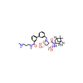 C[C@@H]1[C@@H](NC(=O)[C@@H]2[C@H]([C@H](C)O)[C@H](CO)ON2Cc2cccc(-c3cccc(C(=O)N(C)CCCN(C)C)c3)c2)C[C@H]2C[C@@H]1C2(C)C